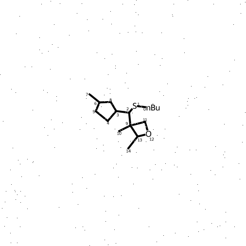 CCCCSC(C1CCC(C)C1)C1(C)COC1C